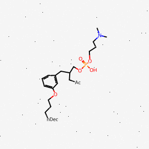 CCCCCCCCCCCCCOc1cccc(CC(COP(=O)(O)OCCCN(C)C)CC(C)=O)c1